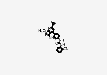 Cn1nc(N)c2c(-c3ccc(NC(=O)Nc4ccccc4C#N)cc3)cc(C3CC3)nc21